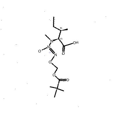 CC[C@@H](C)[C@@H](C(=O)O)N(C)/[N+]([O-])=N/OCOC(=O)C(C)(C)C